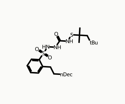 CCCCCCCCCCCCc1ccccc1S(=O)(=O)NNC(=O)NSC(C)(C)CC(C)(C)C